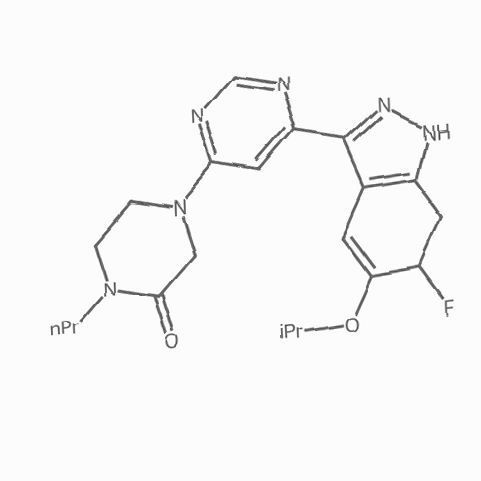 CCCN1CCN(c2cc(-c3n[nH]c4c3C=C(OC(C)C)C(F)C4)ncn2)CC1=O